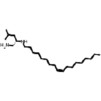 CCCCCCCC/C=C\CCCCCCCCN[C@H](CN)CC(C)C